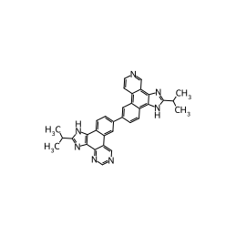 CC(C)c1nc2c3cnccc3c3cc(-c4ccc5c(c4)c4cncnc4c4nc(C(C)C)[nH]c54)ccc3c2[nH]1